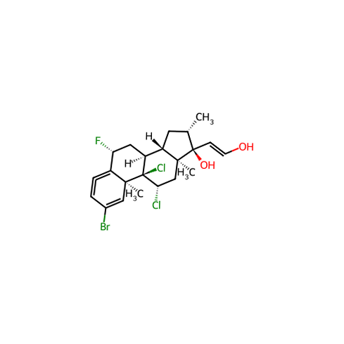 C[C@H]1C[C@H]2[C@@H]3C[C@@H](F)C4=C=CC(Br)=C[C@]4(C)[C@@]3(Cl)[C@@H](Cl)C[C@]2(C)[C@@]1(O)C=CO